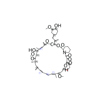 CO[C@H]1C[C@@H]2CC[C@@H](C)[C@@](OC)(O2)C(=O)C(=O)N2CCCCC2C(=O)O[C@H]([C@H](C)C[C@@H]2CC[C@@H](O)[C@H](OC)C2)CC(=O)[C@H](C)/C=C(\C)[C@@H](O)[C@@H](OC)C(=O)[C@H](C)C[C@H](C)/C=C/C=C/C=C/1C